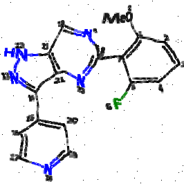 COc1cccc(F)c1-c1ncc2[nH]nc(-c3ccncc3)c2n1